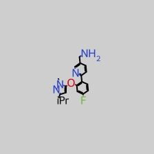 CC(C)c1cc(Oc2cc(F)ccc2-c2ccc(CN)cn2)n(C)n1